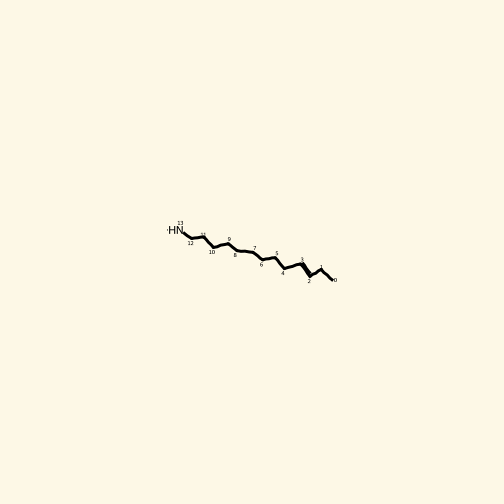 CC/C=C/CCCCCCCCC[NH]